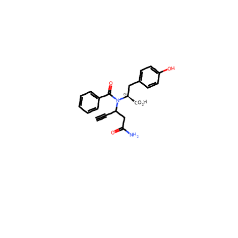 C#CC(CC(N)=O)N(C(=O)c1ccccc1)[C@@H](Cc1ccc(O)cc1)C(=O)O